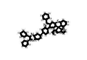 c1ccc(-c2nc3ccc(-c4ccc5c(c4)nc(-c4ccccc4)c4cc6c(cc45)C4(c5ccccc5S6)c5ccccc5-c5ccccc54)cc3nc2-c2ccccc2)cc1